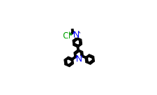 CC(Cl)N(C)c1ccc(-c2cc(-c3ccccc3)nc(-c3ccccc3)c2)cc1